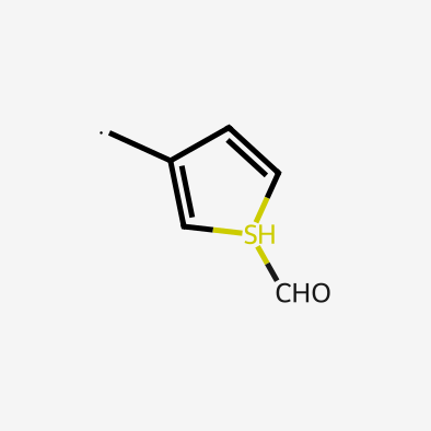 [CH2]C1=C[SH](C=O)C=C1